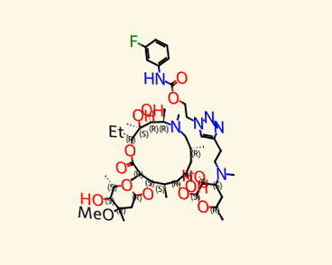 CC[C@H]1OC(=O)[C@H](C)[C@@H](O[C@H]2C[C@@](C)(OC)[C@@H](O)[C@H](C)O2)[C@H](C)[C@@H](O[C@@H]2O[C@H](C)C[C@H](N(C)CCc3cn(CCOC(=O)Nc4cccc(F)c4)nn3)[C@H]2O)[C@](C)(O)C[C@@H](C)CN(C)[C@H](C)[C@@H](O)[C@]1(C)O